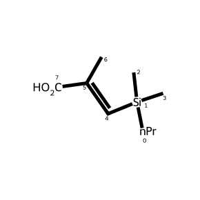 CCC[Si](C)(C)C=C(C)C(=O)O